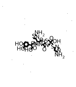 Nc1cc(SCC2(C(=O)O)CS[C@@H]3C(NC(=O)C(=NOC(C(=O)O)c4ccc(O)c(O)c4)c4csc(N)n4)C(=O)N3C2)ncn1